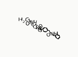 C=CC(=O)NCC1CCN(S(=O)(=O)c2ccc(CC(=O)NCc3ccccc3)cc2)CC1